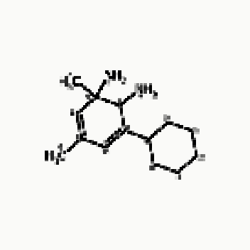 CC1=CC(C)(N)C(N)C(C2CCCCC2)=C1